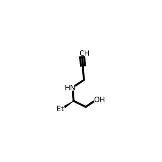 C#CCN[C@H](CC)CO